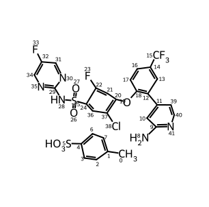 Cc1ccc(S(=O)(=O)O)cc1.Nc1cc(-c2cc(C(F)(F)F)ccc2Oc2cc(F)c(S(=O)(=O)Nc3ncc(F)cn3)cc2Cl)ccn1